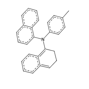 Cc1ccc(N(C2=c3ccccc3=CCC2)c2cccc3ccccc23)cc1